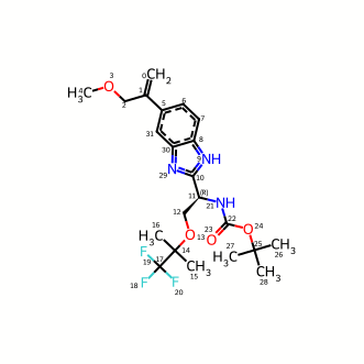 C=C(COC)c1ccc2[nH]c([C@H](COC(C)(C)C(F)(F)F)NC(=O)OC(C)(C)C)nc2c1